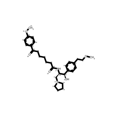 COCCc1ccc([C@@H](O)[C@@H](CN2CCCC2)NC(=O)CCCCCC(=O)c2ccc(OC)cc2)cc1